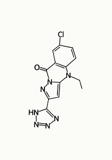 CCn1c2ccc(Cl)cc2c(=O)n2nc(-c3nnn[nH]3)cc12